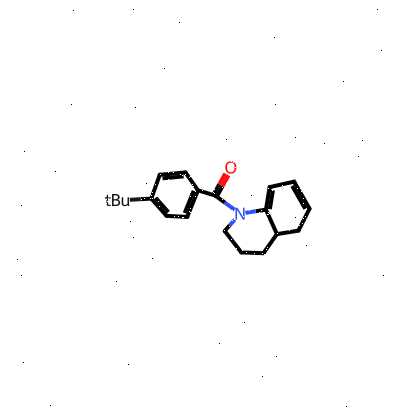 CC(C)(C)c1ccc(C(=O)N2CCCC3CC=CC=C32)cc1